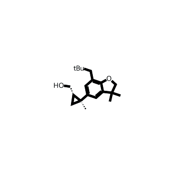 CC(C)(C)Cc1cc([C@@]2(C)C[C@@H]2CO)cc2c1OCC2(C)C